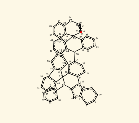 c1ccc(N2c3nc4ccccc4n3-c3ccc(N4c5ccccc5C5(c6ccccc6Oc6ccccc65)c5ccccc54)cc3C23c2ccccc2-c2ccccc23)cc1